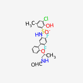 Cc1cc(Cl)c(O)c([S+]([O-])Nc2cc(-c3ccccc3OC(C)CNC=O)c(F)cc2F)c1